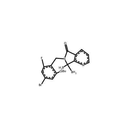 BC1(B)c2ncccc2C(=O)N1Cc1c(F)cc(Br)cc1OCC(C)C